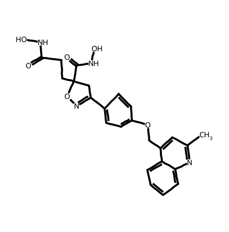 Cc1cc(COc2ccc(C3=NOC(CCC(=O)NO)(C(=O)NO)C3)cc2)c2ccccc2n1